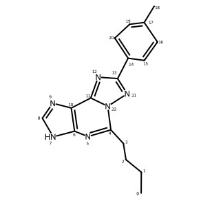 CCCCc1nc2[nH]cnc2c2nc(-c3ccc(C)cc3)nn12